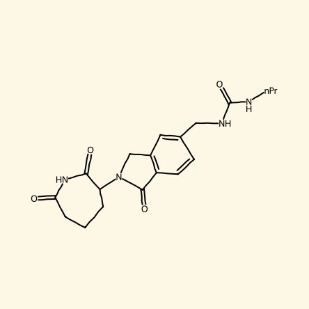 CCCNC(=O)NCc1ccc2c(c1)CN(C1CCCC(=O)NC1=O)C2=O